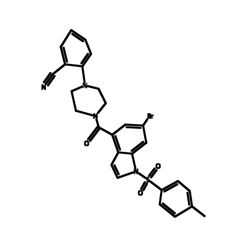 Cc1ccc(S(=O)(=O)n2ccc3c(C(=O)N4CCN(c5ccccc5C#N)CC4)cc(Br)cc32)cc1